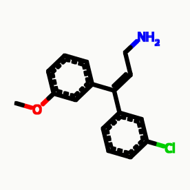 COc1cccc(/C(=C\CN)c2cccc(Cl)c2)c1